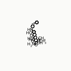 CN(C)C1C(O)=C(C(N)=O)C(=O)C2(O)C(O)=C3C(=O)c4c(ccc(NC5CCN(Cc6ccccc6)CC5)c4O)CC3CC12